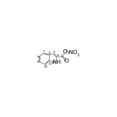 O=C(O[N+](=O)[O-])c1cc2ccccc2[nH]1